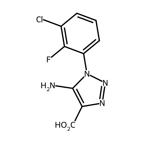 Nc1c(C(=O)O)nnn1-c1cccc(Cl)c1F